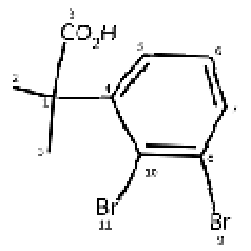 CC(C)(C(=O)O)c1cccc(Br)c1Br